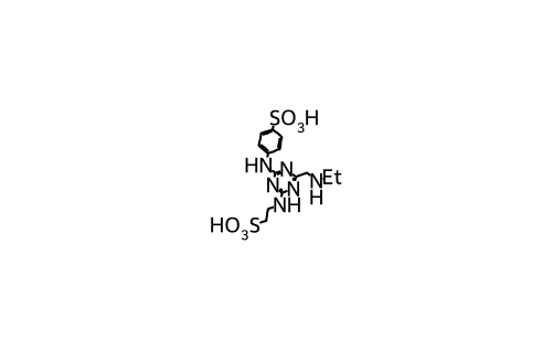 CCNCc1nc(NCCS(=O)(=O)O)nc(Nc2ccc(S(=O)(=O)O)cc2)n1